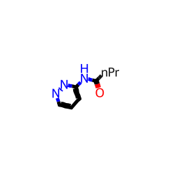 CCCC(=O)Nc1cccnn1